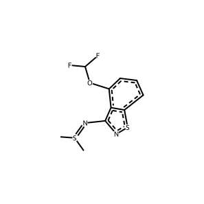 CS(C)=Nc1nsc2cccc(OC(F)F)c12